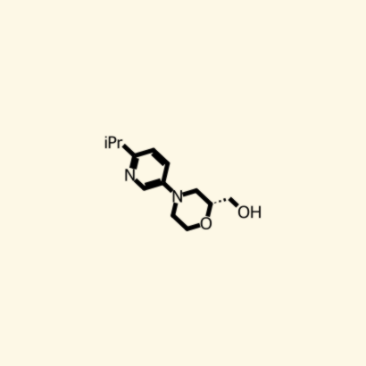 CC(C)c1ccc(N2CCO[C@@H](CO)C2)cn1